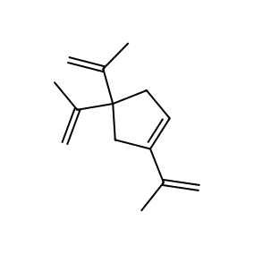 C=C(C)C1=CCC(C(=C)C)(C(=C)C)C1